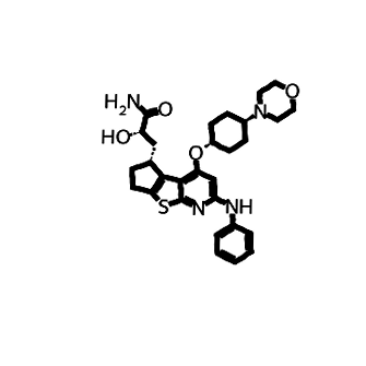 NC(=O)[C@@H](O)C[C@H]1CCc2sc3nc(Nc4ccccc4)cc(O[C@H]4CC[C@H](N5CCOCC5)CC4)c3c21